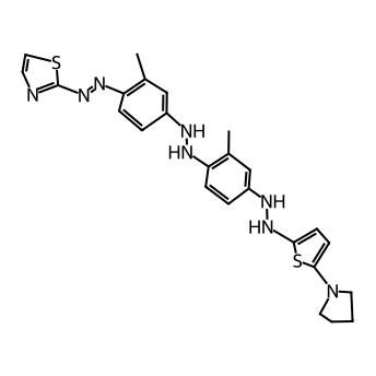 Cc1cc(NNc2ccc(NNc3ccc(N4CCCC4)s3)cc2C)ccc1/N=N/c1nccs1